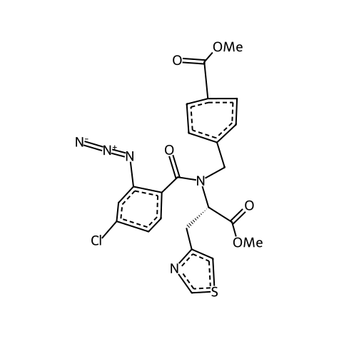 COC(=O)c1ccc(CN(C(=O)c2ccc(Cl)cc2N=[N+]=[N-])[C@@H](Cc2cscn2)C(=O)OC)cc1